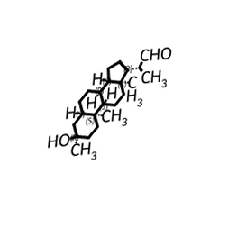 CC(C=O)[C@H]1CC[C@H]2[C@@H]3CC[C@H]4C[C@](C)(O)CC[C@]4(C)[C@H]3CC[C@]12C